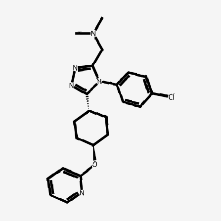 CN(C)Cc1nnc([C@H]2CC[C@H](Oc3ccccn3)CC2)n1-c1ccc(Cl)cc1